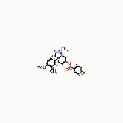 COc1ccc(C23CC=C(OC(=O)c4ccc(F)cc4)CC2N(C)CC3)cc1C